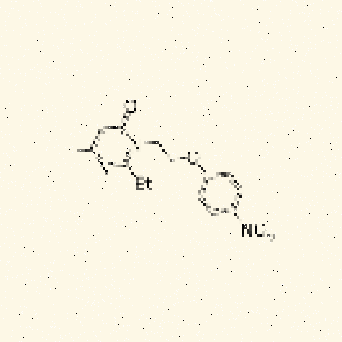 CCc1nc(C)cc(=O)n1CCOc1ccc([N+](=O)[O-])cc1